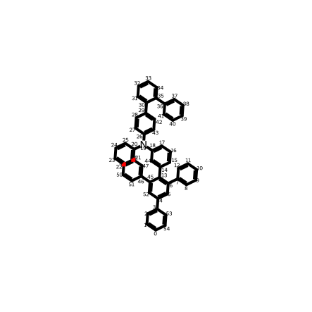 c1ccc(-c2cc(-c3ccccc3)c(-c3cccc(N(c4ccccc4)c4ccc(-c5ccccc5-c5ccccc5)cc4)c3)c(-c3ccccc3)c2)cc1